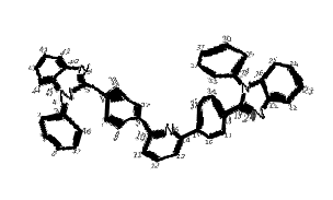 c1ccc(-n2c(-c3ccc(-c4cccc(-c5ccc(-c6nc7ccccc7n6-c6ccccc6)cc5)n4)cc3)nc3ccccc32)cc1